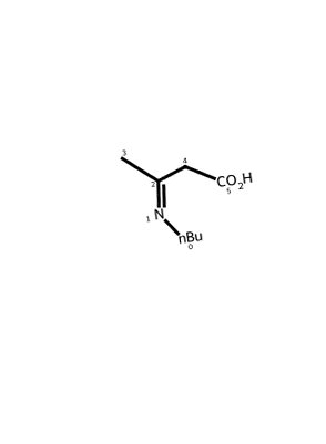 CCCC/N=C(/C)CC(=O)O